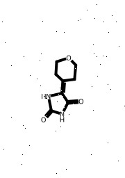 O=C1NC(=O)C(=C2CCOCC2)N1